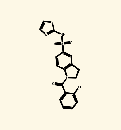 O=C(c1ccccc1Cl)N1CCc2cc(S(=O)(=O)Nc3nccs3)ccc21